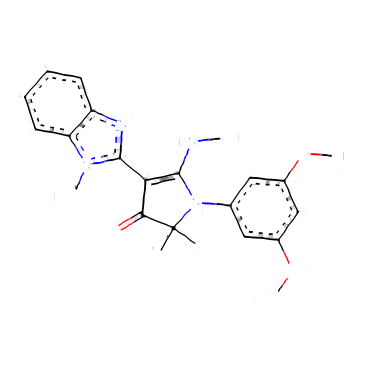 CNC1=C(c2nc3ccccc3n2C)C(=O)C(C)(C)N1c1cc(OC)cc(OC)c1